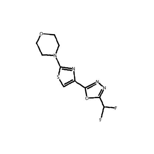 FC(F)c1nnc(-c2csc(N3CCOCC3)n2)o1